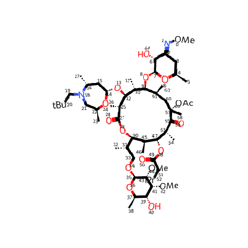 CO/N=C1\C[C@@H](C)O[C@@H](O[C@@H]2[C@@H](C)[C@H](O[C@H]3C[C@@H](C)N(CC(C)(C)C)C[C@H](C)O3)[C@@H](C)C(=O)O[C@H]([C@@H](C)CO[C@@H]3O[C@H](C)[C@@H](O)[C@@H](OC)[C@H]3OC)[C@H](C)[C@@H](OC(=O)CC(C)C)[C@@H](C)C(=O)[C@@](C)(OC(C)=O)C[C@@H]2C)[C@@H]1O